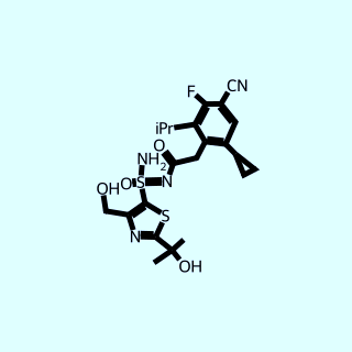 CC(C)c1c(F)c(C#N)cc(C2CC2)c1CC(=O)N=S(N)(=O)c1sc(C(C)(C)O)nc1CO